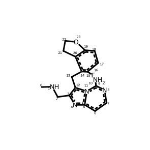 CNCc1nc2ccnc(N)n2c1Cc1c(F)ccc2c1CCO2